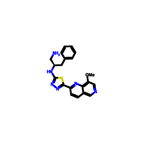 COc1cncc2ccc(-c3nnc(N[C@@H](CN)Cc4ccccc4)s3)nc12